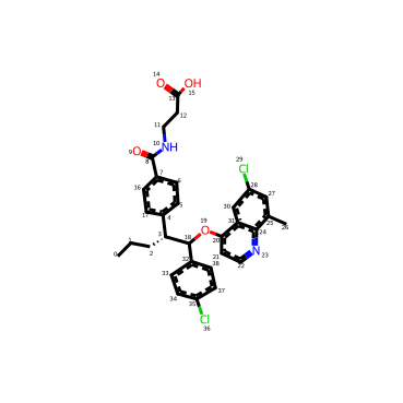 CCC[C@H](c1ccc(C(=O)NCCC(=O)O)cc1)C(Oc1ccnc2c(C)cc(Cl)cc12)c1ccc(Cl)cc1